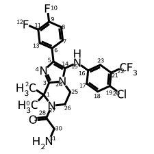 CC1(C)c2nc(-c3ccc(F)c(F)c3)c(Nc3ccc(Cl)c(C(F)(F)F)c3)n2CCN1C(=O)CN